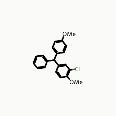 COc1ccc(C(c2ccccc2)c2ccc(OC)c(Cl)c2)cc1